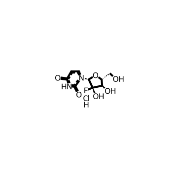 Cl.O=c1ccn([C@@H]2O[C@H](CO)[C@@H](O)[C@]2(O)F)c(=O)[nH]1